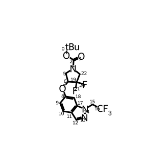 CC(C)(C)OC(=O)N1CC(Oc2ccc3cnn(CC(F)(F)F)c3c2)C(F)(F)C1